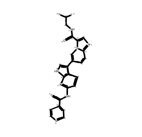 O=C(Nc1ccc2c(-c3ccc4ncc(C(=O)NCC(F)F)n4c3)c[nH]c2n1)c1ccncc1